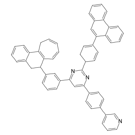 C1=CCC2=C(C=C1)C(c1cccc(-c3cc(-c4ccc(-c5cccnc5)cc4)nc(C4C=CC(c5cc6ccccc6c6ccccc56)=CC4)n3)c1)Cc1ccccc12